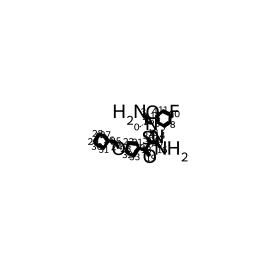 C[C@H](C(N)=O)N(c1ccc(F)cc1)c1nc(N)c(C(=O)c2ccc(OCc3ccccc3)cc2)s1